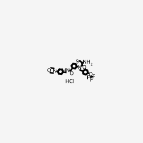 Cl.N[C@H]1CSc2ccc(C(=O)NCc3ccc(N4CCOCC4)cc3)cc2N(Cc2ccc(OC(F)(F)F)cc2)C1=O